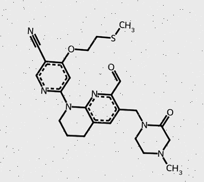 CSCCOc1cc(N2CCCc3cc(CN4CCN(C)CC4=O)c(C=O)nc32)ncc1C#N